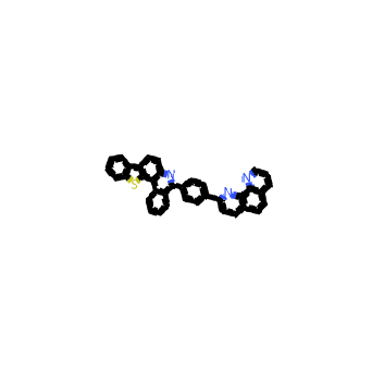 c1cnc2c(c1)ccc1ccc(-c3ccc(-c4nc5ccc6c7ccccc7sc6c5c5ccccc45)cc3)nc12